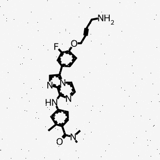 Cc1cc(Nc2nccn3c(-c4ccc(OCC#CCN)c(F)c4)cnc23)ccc1C(=O)N(C)C